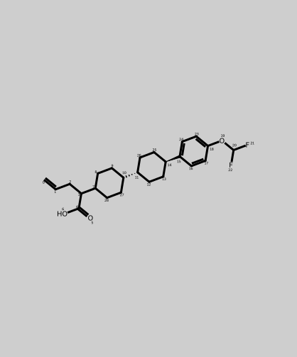 C=CCC(C(=O)O)C1CCC([C@H]2CC[C@H](c3ccc(OC(F)F)cc3)CC2)CC1